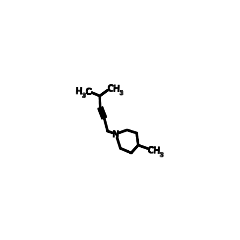 CC(C)C#CCN1CCC(C)CC1